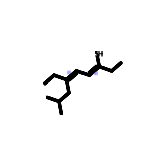 CC/C(S)=C/C=C(/CC)CC(C)C